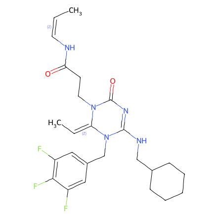 C/C=C\NC(=O)CCN1C(=O)N=C(NCC2CCCCC2)N(Cc2cc(F)c(F)c(F)c2)/C1=C/C